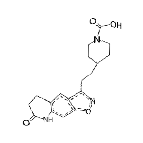 O=C1CCc2cc3c(CCC4CCN(C(=O)O)CC4)noc3cc2N1